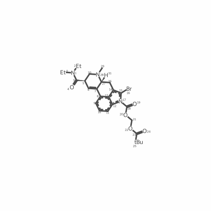 CCN(CC)C(=O)[C@@H]1C=C2c3cccc4c3c(c(Br)n4C(=O)OCOC(=O)C(C)(C)C)C[C@H]2N(C)C1